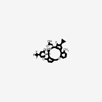 Cc1cccc2c1-c1cc(C3CC3)c(F)c(c1)[C@H](CC(=O)O)NC(=O)[C@H](n1ccc(C(F)(F)F)cc1=O)c1cc(ccc1Cl)CO2